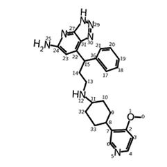 COc1ccncc1C1CCC(NCCC(c2ccccc2)c2cc(N)nc3[nH]nnc23)CC1